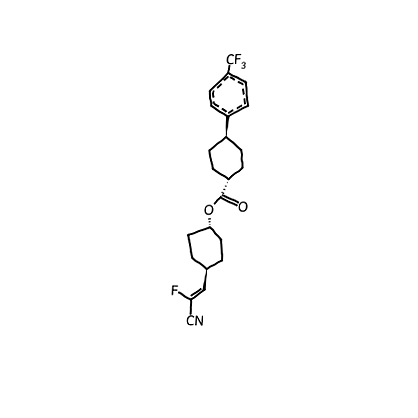 N#CC(F)=C[C@H]1CC[C@H](OC(=O)[C@H]2CC[C@H](c3ccc(C(F)(F)F)cc3)CC2)CC1